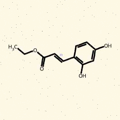 CCOC(=O)/C=C/c1ccc(O)cc1O